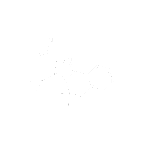 CC1(C)Oc2cnccc2-c2[nH]c(C(N)=O)c(C3CC3)c21